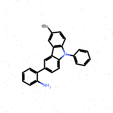 CC(C)(C)c1ccc2c(c1)c1cc(-c3ccccc3N)ccc1n2-c1ccccc1